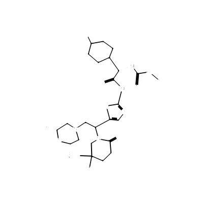 CC1CCC([C@H](NC(=O)OC(C)(C)C)C(=O)Nc2ncc(C(CN3C[C@@H](C)O[C@@H](C)C3)N3CC(F)(F)CCC3=O)s2)CC1